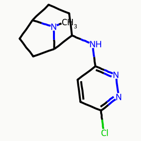 CN1C2CCC(Nc3ccc(Cl)nn3)C1CC2